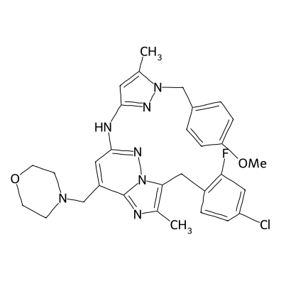 COc1ccc(Cn2nc(Nc3cc(CN4CCOCC4)c4nc(C)c(Cc5ccc(Cl)cc5F)n4n3)cc2C)cc1